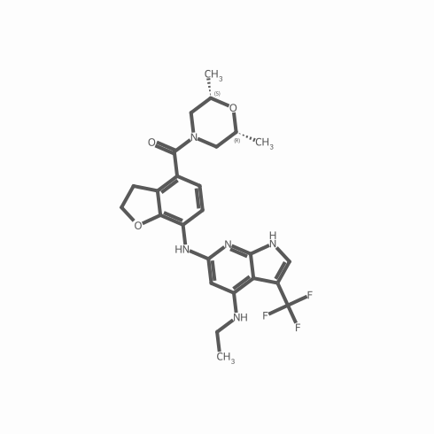 CCNc1cc(Nc2ccc(C(=O)N3C[C@@H](C)O[C@@H](C)C3)c3c2OCC3)nc2[nH]cc(C(F)(F)F)c12